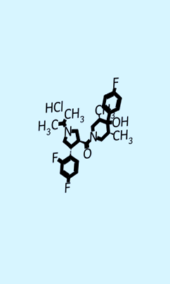 CC(C)N1C[C@@H](C(=O)N2C[C@@H](C)C(O)(c3ccc(F)cc3)[C@@H](C)C2)[C@H](c2ccc(F)cc2F)C1.Cl